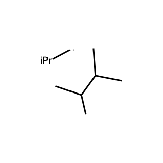 CC(C)C(C)C.[CH2]C(C)C